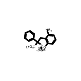 CCCCCSC(Cc1c(N)cccc1OC)(C(=O)OCC)c1ccccc1